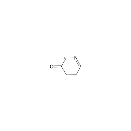 O=C1[C]N=CCC1